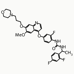 COc1cc2c(Oc3ccc(NC(=O)NC(C)c4ccc(F)cc4F)c(F)c3)ccnc2cc1OCCCN1CCOCC1